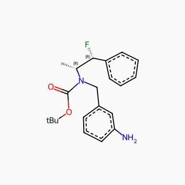 C[C@H]([C@H](F)c1ccccc1)N(Cc1cccc(N)c1)C(=O)OC(C)(C)C